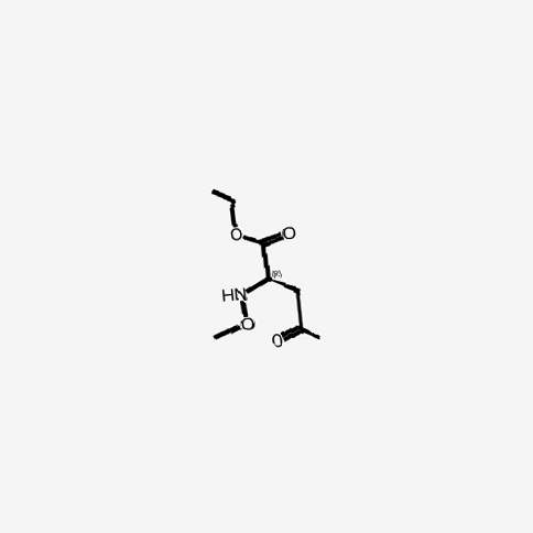 CCOC(=O)[C@@H](CC(C)=O)NOC